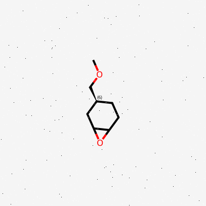 COC[C@H]1CCC2OC2C1